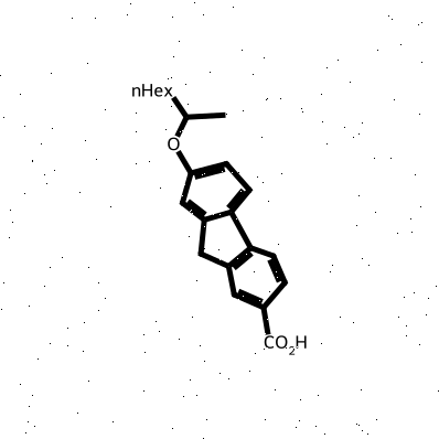 CCCCCCC(C)Oc1ccc2c(c1)Cc1cc(C(=O)O)ccc1-2